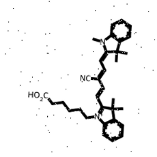 CN1/C(=C/C=C(C#N)/C=C/C2=[N+](CCCCCC(=O)O)c3ccccc3C2(C)C)C(C)(C)c2ccccc21